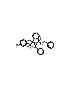 O=C(OCc1ccccc1)N1C(c2ccccc2)OC(=O)C1(Cc1ccc(F)cc1)c1ccccc1